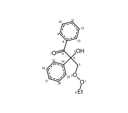 CCOOCC(O)(C(=O)c1ccccc1)c1ccccc1